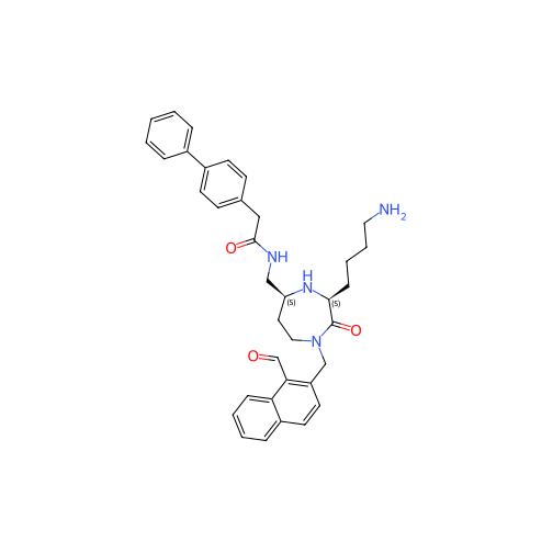 NCCCC[C@@H]1N[C@H](CNC(=O)Cc2ccc(-c3ccccc3)cc2)CCN(Cc2ccc3ccccc3c2C=O)C1=O